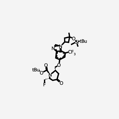 CC(C)(C)OC(=O)N1[C@H](COc2cc(C(F)(F)F)c3c(c2)ncn3C2CC(C)(O[Si](C)(C)C(C)(C)C)C2)CC(=O)C[C@@H]1CF